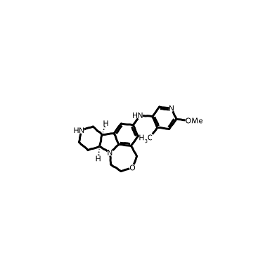 COc1cc(C)c(Nc2cc3c4c(c2)[C@@H]2CNCC[C@@H]2N4CCOC3)cn1